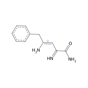 N=C(/C=C(\N)Cc1ccccc1)C(N)=O